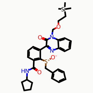 C[Si](C)(C)CCOCn1c(=O)c(-c2cccc(C(=O)NC3CCCC3)c2[S+]([O-])Cc2ccccc2)nc2ccccc21